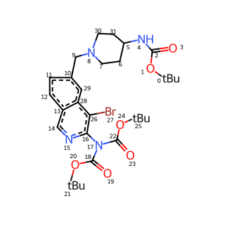 CC(C)(C)OC(=O)NC1CCN(Cc2ccc3cnc(N(C(=O)OC(C)(C)C)C(=O)OC(C)(C)C)c(Br)c3c2)CC1